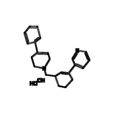 C1=C(c2cccnc2)CCCC1CN1CC=C(c2ccccc2)CC1.Cl.Cl